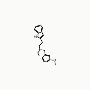 CCN(CCc1cc2ccccc2[nH]1)Cc1cccc(OC)c1